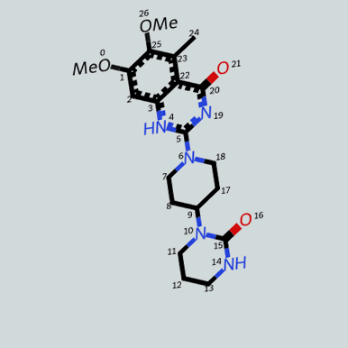 COc1cc2[nH]c(N3CCC(N4CCCNC4=O)CC3)nc(=O)c2c(C)c1OC